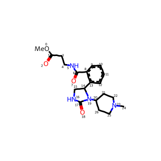 COC(=O)CCNC(=O)c1ccccc1C1CNC(=O)N1C1CCN(C)CC1